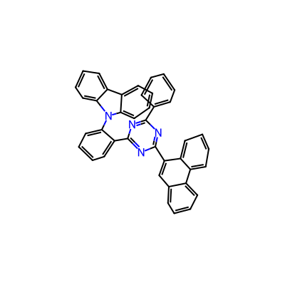 c1ccc(-c2nc(-c3ccccc3-n3c4ccccc4c4ccccc43)nc(-c3cc4ccccc4c4ccccc34)n2)cc1